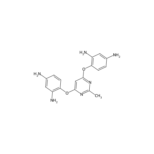 Cc1nc(Oc2ccc(N)cc2N)cc(Oc2ccc(N)cc2N)n1